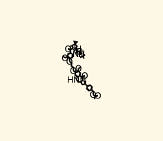 COc1cc2c(cc1OCCCOc1cc3c(cc1OC)C(=O)N1CC4(CC4)C[C@H]1C(O[Si](C)(C)C(C)(C)C)N3)NCC1CC(c3ccc(COC(C)=O)cc3)=CN1C2=O